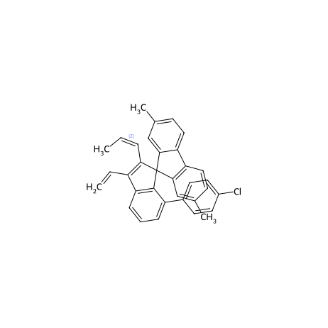 C=CC1=C(/C=C\C)C2(c3cc(C)ccc3-c3ccc(C)cc32)c2c1cccc2-c1ccc(Cl)cc1